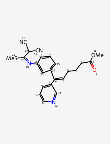 COC(=O)CCC/C=C(/c1cccnc1)c1cccc(N=C(SC)C(C#N)C#N)c1